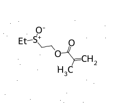 C=C(C)C(=O)OCC[S+]([O-])CC